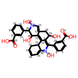 O=C(O)c1cccc(C2=C3C(=C4C(=CN(O)C(c5cccc(C(=O)O)c5)C4O)CC3O)C3CC=CC=C3N2O)c1